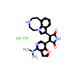 CN(C)c1ncc(C2=C(c3cn4c5c(cccc35)CCNCC4)C(=O)NC2=O)c2occc12.Cl.Cl